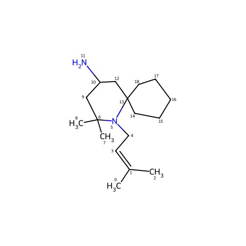 CC(C)=CCN1C(C)(C)CC(N)CC12CCCCC2